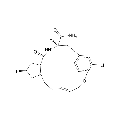 NC(=O)[C@@H]1Cc2ccc(c(Cl)c2)OC/C=C/CCN2C[C@@H](F)CC2C(=O)N1